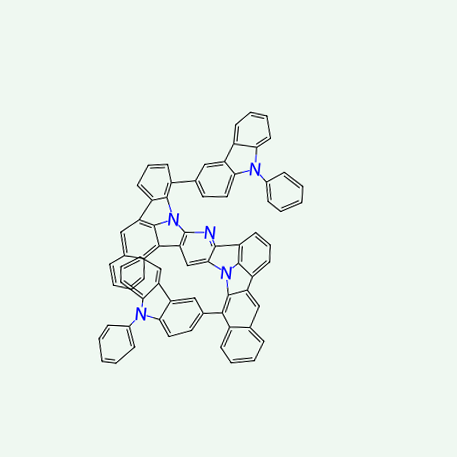 c1ccc(-n2c3ccccc3c3cc(-c4c5ccccc5cc5c6cccc7c8nc9c(cc8n(c45)c67)c4c5ccccc5cc5c6cccc(-c7ccc8c(c7)c7ccccc7n8-c7ccccc7)c6n9c54)ccc32)cc1